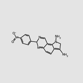 NC1=c2ccc3c(c2N(N)C1)C=NC(c1ccc([N+](=O)[O-])cc1)N=3